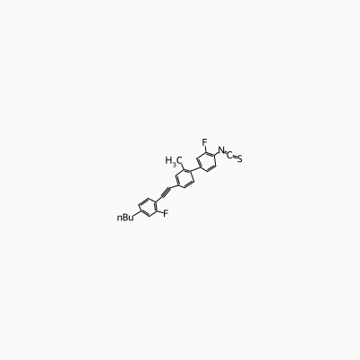 CCCCc1ccc(C#Cc2ccc(-c3ccc(N=C=S)c(F)c3)c(C)c2)c(F)c1